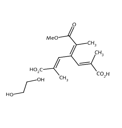 COC(=O)C(C)=C(C=C(C)C(=O)O)C=C(C)C(=O)O.OCCO